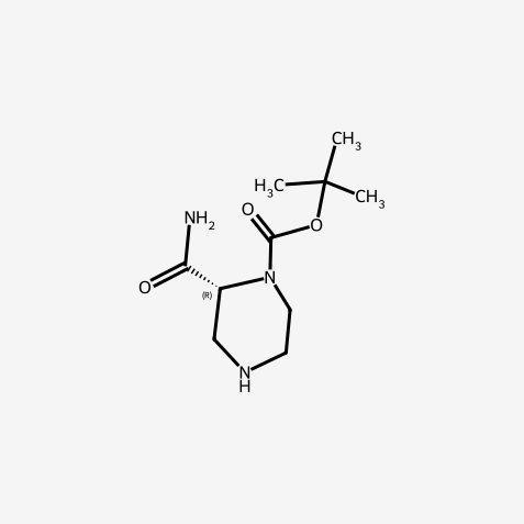 CC(C)(C)OC(=O)N1CCNC[C@@H]1C(N)=O